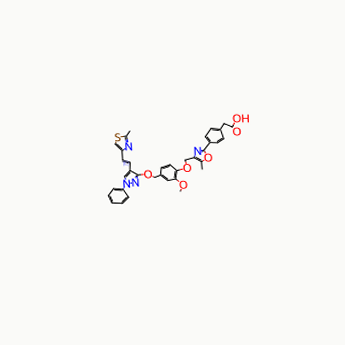 COc1cc(COc2nn(-c3ccccc3)cc2/C=C/c2csc(C)n2)ccc1OCc1nc(-c2ccc(CC(=O)O)cc2)oc1C